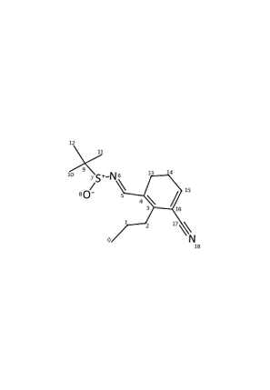 CCCC1=C(/C=N/[S+]([O-])C(C)(C)C)CCC=C1C#N